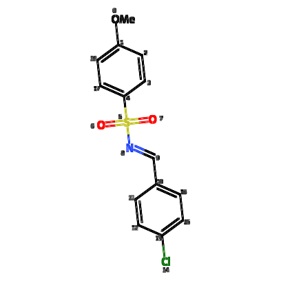 COc1ccc(S(=O)(=O)N=Cc2ccc(Cl)cc2)cc1